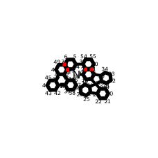 c1ccc(-c2ccccc2N(c2ccc3c(c2)C2(c4ccccc4-c4ccccc42)c2ccccc2-3)c2cccc3c4ccccc4c4ccccc4c23)cc1